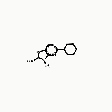 CN1c2nc(C3CCCCC3)ncc2NC1C=O